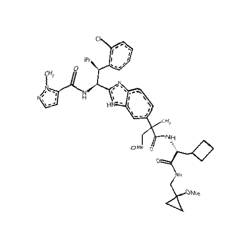 COCC(C)(C(=O)N[C@@H](C(=O)NCC1(OC)CC1)C1CCC1)c1ccc2nc([C@@H](NC(=O)c3ccnn3C)[C@H](c3ccccc3Cl)C(C)C)[nH]c2c1